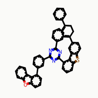 C1=C(c2ccccc2)CCC(c2ccc3sc4cccc(-c5nc(-c6ccccc6)nc(-c6cccc(-c7cccc8oc9ccccc9c78)c6)n5)c4c3c2)=C1